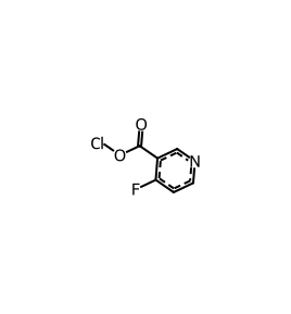 O=C(OCl)c1cnccc1F